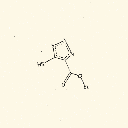 CCOC(=O)c1nnsc1S